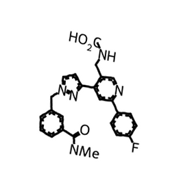 CNC(=O)c1cccc(Cn2ccc(-c3cc(-c4ccc(F)cc4)ncc3CNC(=O)O)n2)c1